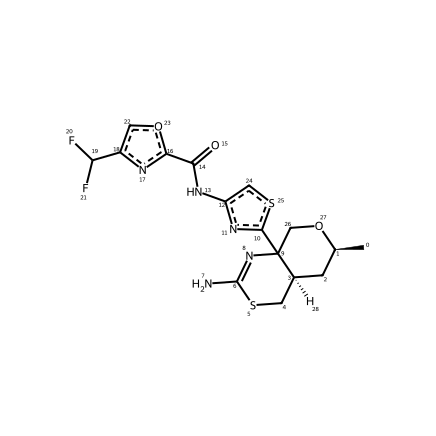 C[C@H]1C[C@H]2CSC(N)=NC2(c2nc(NC(=O)c3nc(C(F)F)co3)cs2)CO1